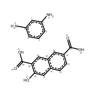 Nc1cccc(N)c1.O=C(O)c1ccc2cc(O)c(C(=O)O)cc2c1